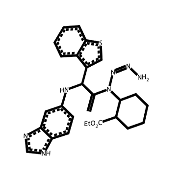 C=C(C(Nc1ccc2[nH]cnc2c1)c1csc2ccccc12)N(/N=N\N)C1CCCCC1C(=O)OCC